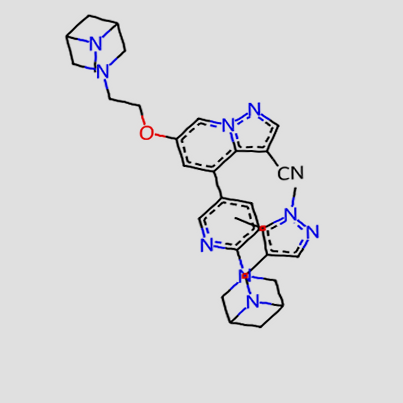 Cc1c(CN2C3CC2CN(c2ccc(-c4cc(OCCN5CC6CC(C5)N6C)cn5ncc(C#N)c45)cn2)C3)cnn1C